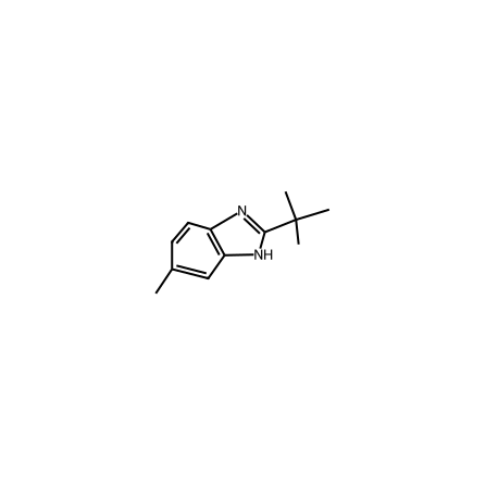 Cc1ccc2nc(C(C)(C)C)[nH]c2c1